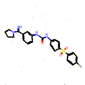 N=C(c1cccc(NC(=O)Nc2ccc(S(=O)(=O)c3ccc(Br)cc3)cc2)c1)N1CCCC1